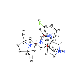 CN[C@@H](CCN1[C@@H]2CC[C@H]1CC(n1c(C)nc3c1CCNC3)C2)c1cccc(F)c1